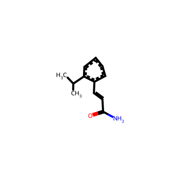 CC(C)c1ccccc1/C=C/C(N)=O